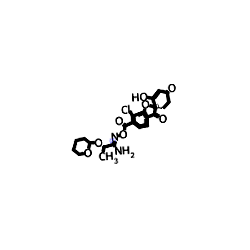 CC(OC1CCCCO1)/C(N)=N/OC(=O)c1ccc2c(c1Cl)O[C@]1(CCC(=O)C=C1O)C2=O